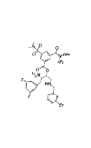 CCCN(CCC)C(=O)c1cc(C(=O)OC(CNCc2cccc(CC)c2)C(N)Cc2cc(F)cc(F)c2)cc(S(=O)(=O)N(C)C)c1